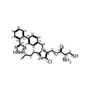 CCCCc1nc(Cl)c(COC(=O)[C@@H](N)CS)n1Cc1ccc(-c2ccccc2-c2nn[nH]n2)cc1